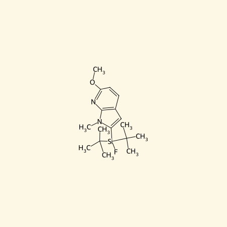 COc1ccc2cc([Si](F)(C(C)(C)C)C(C)(C)C)n(C)c2n1